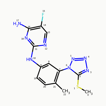 CSc1nnnn1-c1cc(Nc2ncc(F)c(N)n2)ccc1C